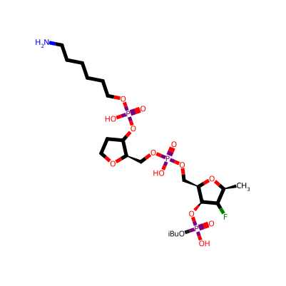 CC(C)COP(=O)(O)O[C@@H]1C(F)[C@H](C)O[C@@H]1COP(=O)(O)OC[C@H]1OCCC1OP(=O)(O)OCCCCCCN